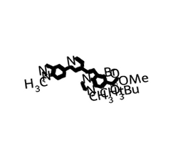 COC(=O)[C@@H](OC(C)(C)C)c1c(C)c2c3c(cc(-c4ccnc(-c5ccc6c(cnn6C)c5)c4)n3CCN2C)c1Br